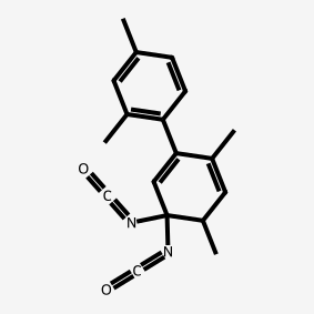 CC1=CC(C)C(N=C=O)(N=C=O)C=C1c1ccc(C)cc1C